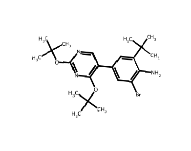 CC(C)(C)Oc1ncc(-c2cc(Br)c(N)c(C(C)(C)C)c2)c(OC(C)(C)C)n1